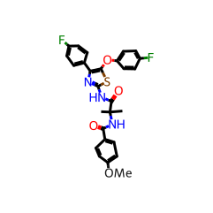 COc1ccc(C(=O)NC(C)(C)C(=O)Nc2nc(-c3ccc(F)cc3)c(Oc3ccc(F)cc3)s2)cc1